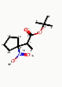 CC(C(=O)OC(C)(C)C)C1([N+](=O)[O-])CCCC1